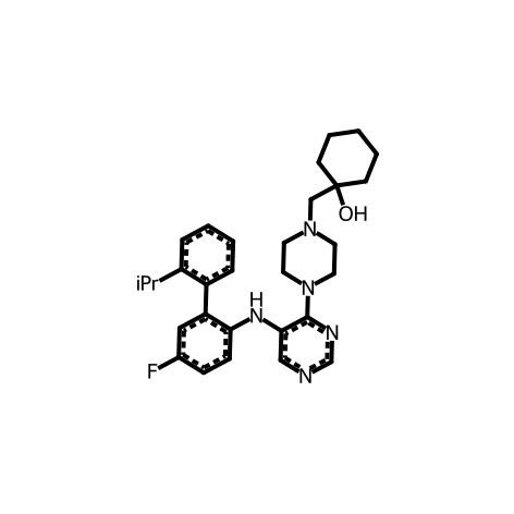 CC(C)c1ccccc1-c1cc(F)ccc1Nc1cncnc1N1CCN(CC2(O)CCCCC2)CC1